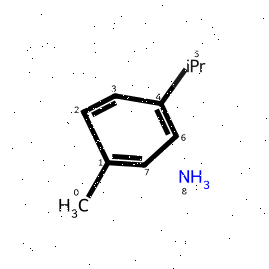 Cc1ccc(C(C)C)cc1.N